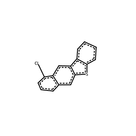 Clc1cccc2cc3sc4ccccc4c3cc12